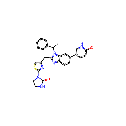 CC(c1ccccc1)n1c(Cc2csc(N3CCNC3=O)n2)nc2ccc(-c3ccc(=O)[nH]c3)cc21